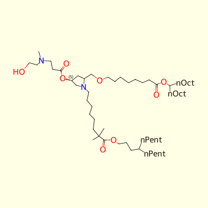 CCCCCCCCC(CCCCCCCC)OC(=O)CCCCCCCOCC1C[C@H](OC(=O)CCN(C)CCO)CN1CCCCCCC(C)(C)C(=O)OCCCC(CCCCC)CCCCC